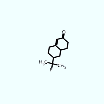 CC(C)(F)C1CCC2=CC(=O)CCC2C1